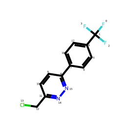 FC(F)(F)c1ccc(-c2ccc(CCl)nn2)cc1